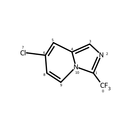 FC(F)(F)c1ncc2cc(Cl)ccn12